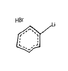 Br.[Li][c]1ccccc1